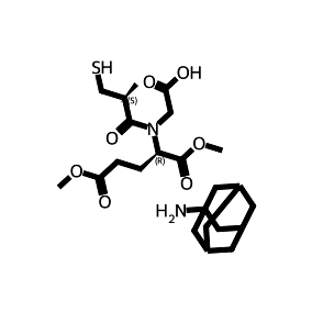 COC(=O)CC[C@H](C(=O)OC)N(CC(=O)O)C(=O)[C@H](C)CS.NC12CC3CC(CC(C3)C1)C2